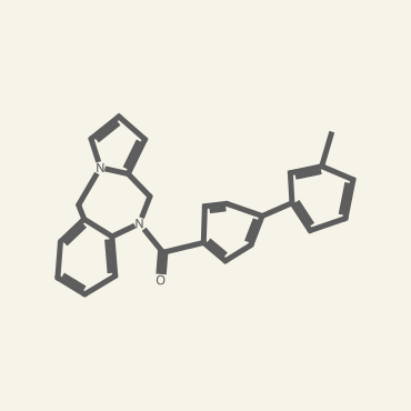 Cc1cccc(-c2ccc(C(=O)N3Cc4cccn4Cc4ccccc43)cc2)c1